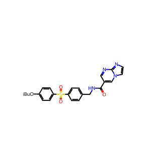 CC(C)COc1ccc(S(=O)(=O)c2ccc(CNC(=O)c3cnc4nccn4c3)cc2)cc1